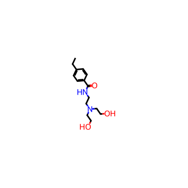 CCc1ccc(C(=O)NCCN(CCO)CCO)cc1